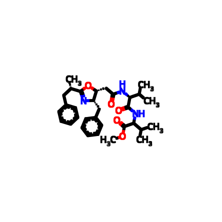 COC(=O)C(NC(=O)[C@@H](NC(=O)C[C@H]1OC([C@@H](C)Cc2ccccc2)=N[C@H]1Cc1ccccc1)C(C)C)C(C)C